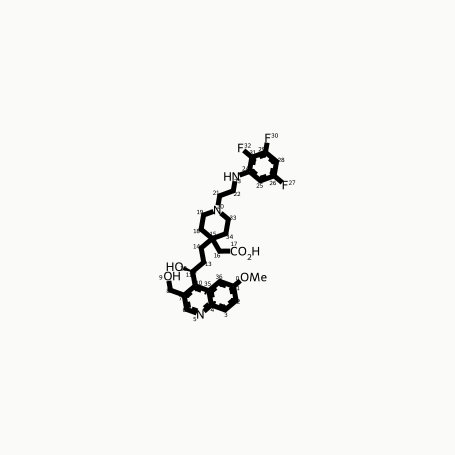 COc1ccc2ncc(CO)c([C@@H](O)CCC3(CC(=O)O)CCN(CCNc4cc(F)cc(F)c4F)CC3)c2c1